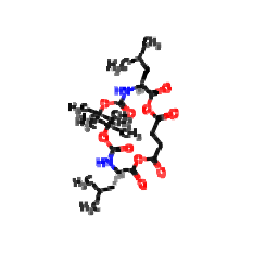 CC(C)C[C@H](NC(=O)OC(C)(C)C)C(=O)OC(=O)CCC(=O)OC(=O)[C@H](CC(C)C)NC(=O)OC(C)(C)C